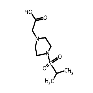 CC(C)S(=O)(=O)N1CCN(CC(=O)O)CC1